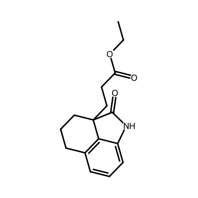 CCOC(=O)CCC12CCCc3cccc(c31)NC2=O